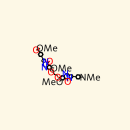 CNc1ccc(C2=CN3C(=O)c4cc(OC)c(OCCCOc5cc6c(cc5OC)C(=O)N5C=C(c7ccc(C(=O)OC)cc7)CC5C=N6)cc4N=CC3C2)cc1